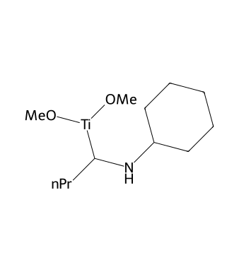 CCC[CH](NC1CCCCC1)[Ti]([O]C)[O]C